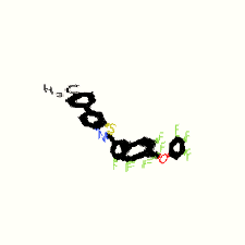 Cc1ccc(-c2ccc3nc(-c4cc(F)c5c(F)c(C(F)(F)Oc6cc(F)c(F)c(F)c6)c(F)cc5c4)sc3c2)cc1